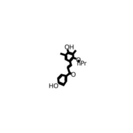 CCCOc1c(C=CC(=O)c2ccc(O)cc2)cc(C)c(O)c1C